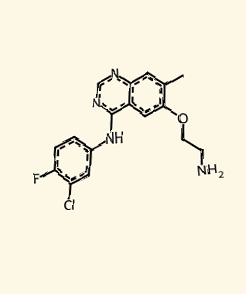 Cc1cc2ncnc(Nc3ccc(F)c(Cl)c3)c2cc1OCCN